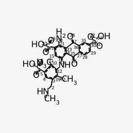 CNCc1cc(S(=O)(=O)O)c(C)c(Nc2cc(S(=O)(=O)O)c(N)c3c2C(=O)c2ccc(S(=O)(=O)O)cc2C3=O)c1C